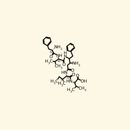 CC[C@H](C)[C@H](NC(=O)CC(N)C(Cc1ccccc1)NC(=O)[C@H](NC(=O)[C@@H](N)Cc1ccccc1)C(C)C)C(=O)N[C@H](C(=O)O)C(C)C